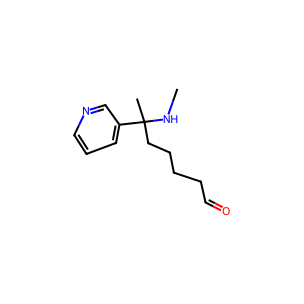 CNC(C)(CCCCC=O)c1cccnc1